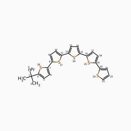 CCCC(C)(C)c1ccc(-c2ccc(-c3ccc(-c4ccc(-c5cccs5)s4)s3)s2)s1